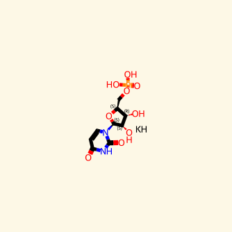 O=c1ccn([C@H]2O[C@@H](COP(=O)(O)O)[C@H](O)[C@@H]2O)c(=O)[nH]1.[KH]